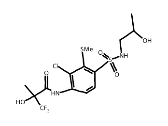 CSc1c(S(=O)(=O)NCC(C)O)ccc(NC(=O)C(C)(O)C(F)(F)F)c1Cl